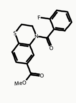 COC(=O)c1ccc2c(c1)N(C(=O)c1ccccc1F)CCS2